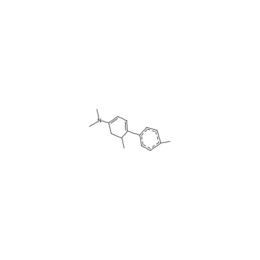 Cc1ccc(C2=CC=C(N(C)C)CC2C)cc1